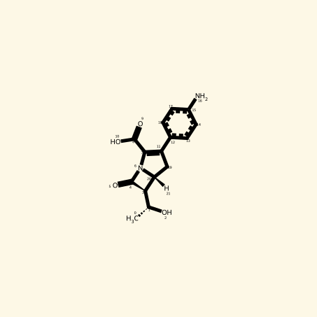 C[C@@H](O)[C@H]1C(=O)N2C(C(=O)O)=C(c3ccc(N)cc3)C[C@H]12